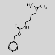 CN(C)CCCCNC(=O)OCc1ccccc1